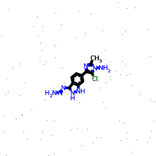 Cc1nc(-c2ccc3c(c2)NNC3N=NN)c(Cl)n1N